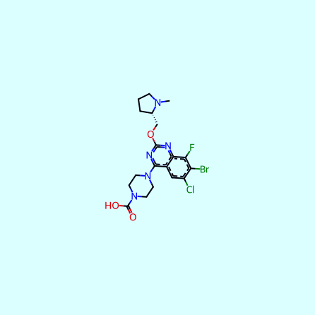 CN1CCC[C@H]1COc1nc(N2CCN(C(=O)O)CC2)c2cc(Cl)c(Br)c(F)c2n1